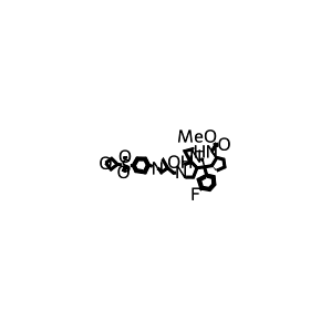 COC(=O)N[C@H]1CCC[C@@H]1[C@](CN1CCC1)(c1cccc(F)c1)C1CCN(CC2(O)CN(c3ccc(S(=O)(=O)C4COC4)cc3)C2)CC1